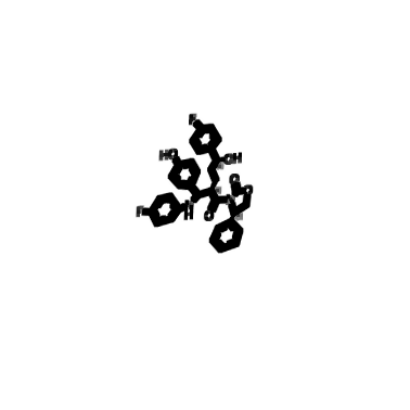 O=C1OC[C@H](c2ccccc2)N1C(=O)[C@H](CC[C@H](O)c1ccc(F)cc1)C(Nc1ccc(F)cc1)c1ccc(O)cc1